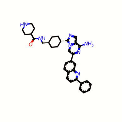 Nc1nc(-c2ccc3ccc(-c4ccccc4)nc3c2)cn2c1cnc2[C@H]1CC[C@H](CNC(=O)C2CCNCC2)CC1